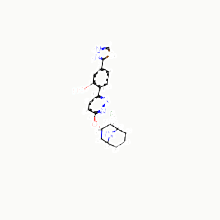 Oc1cc(-c2nncs2)ccc1-c1ccc(O[C@H]2CC3CCCC(N3)[C@H]2F)nn1